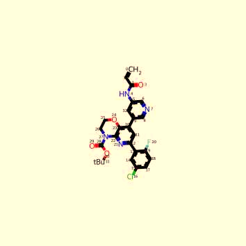 C=CC(=O)Nc1cncc(-c2cc(-c3cc(Cl)ccc3F)nc3c2OCCN3C(=O)OC(C)(C)C)c1